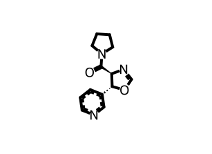 O=C([C@H]1N=CO[C@@H]1c1cccnc1)N1CCCC1